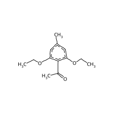 CCOc1cc(C)cc(OCC)c1C(C)=O